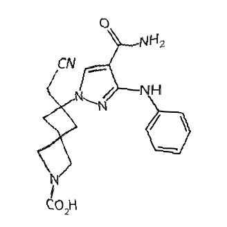 N#CCC1(n2cc(C(N)=O)c(Nc3ccccc3)n2)CC2(CN(C(=O)O)C2)C1